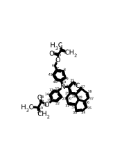 C=C(C)C(=O)OCc1ccc(N(c2ccc(OC(=O)C(=C)C)cc2)c2ccc3c4c2CC=C2C=CC=C(C=C3)C24)cc1